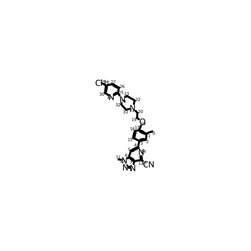 Cc1cc(-c2cc3c(nnn3C)c(C#N)n2)ccc1OCCN1CCN(c2ccc(Cl)cn2)CC1